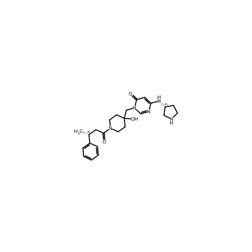 C[C@H](CC(=O)N1CCC(O)(Cn2cnc(N[C@@H]3CCNC3)cc2=O)CC1)c1ccccc1